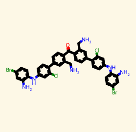 NCc1cc(-c2ccc(Nc3ccc(Br)cc3N)cc2Cl)ccc1C(=O)c1ccc(-c2ccc(Nc3ccc(Br)cc3N)cc2Cl)cc1CN